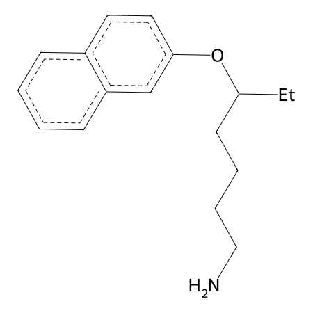 CCC(CCCCN)Oc1ccc2ccccc2c1